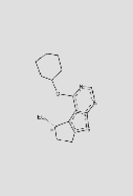 CC[C@H]1CCc2sc3ncnc(OC4CCCCC4)c3c21